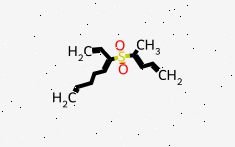 C=C/C=C(\C)S(=O)(=O)/C(C=C)=C/CCC=C